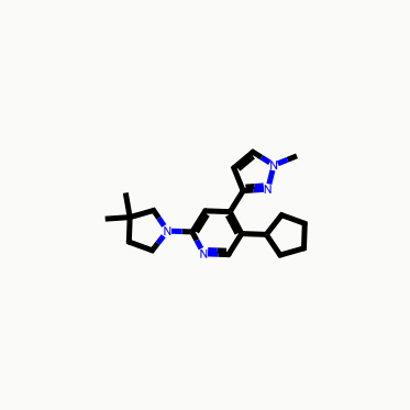 Cn1ccc(-c2cc(N3CCC(C)(C)C3)ncc2C2CCCC2)n1